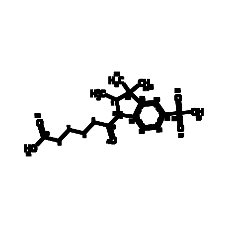 CC1N(C(=O)CCCCC(=O)O)c2ccc(S(=O)(=O)O)cc2C1(C)C